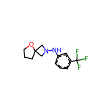 FC(F)(F)c1cccc(NN2CC3(CCCO3)C2)c1